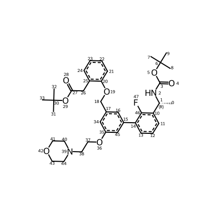 C[C@@H](NC(=O)OC(C)(C)C)c1cccc(-c2cc(COc3ccccc3CC(=O)OC(C)(C)C)cc(OCCN3CCOCC3)c2)c1F